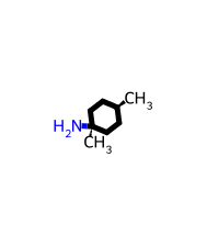 C[C@H]1CC[C@@](C)(N)CC1